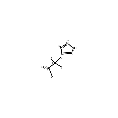 CC(=O)C(C)(C)C.c1c[nH]nn1